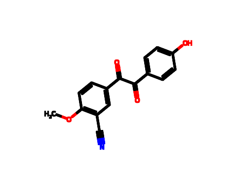 COc1ccc(C(=O)C(=O)c2ccc(O)cc2)cc1C#N